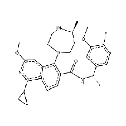 COc1cc2c(N3CCN[C@@H](C)CC3)c(C(=O)N[C@@H](C)c3ccc(F)c(OC)c3)cnc2c(C2CC2)n1